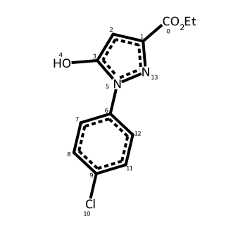 CCOC(=O)c1cc(O)n(-c2ccc(Cl)cc2)n1